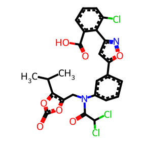 CC(C)c1oc(=O)oc1CN(C(=O)C(Cl)Cl)c1cccc(-c2cc(-c3c(Cl)cccc3C(=O)O)no2)c1